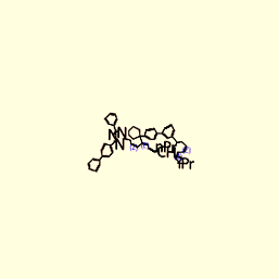 C=C=C/C=C(\C=C/Cc1nc(-c2ccccc2)nc(-c2ccc(-c3ccccc3)cc2)n1)C1(c2ccc(-c3cccc(C(C/C=C\C=C/C(C)C)CCC)c3)cc2)CCCCC1